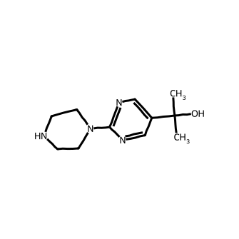 CC(C)(O)c1cnc(N2CCNCC2)nc1